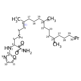 C/C(=C\CSCC(Nc1ncco1)S(N)(=O)=O)CCCC(C)CCCC(C)CCCC(C)C